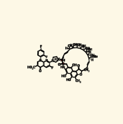 CO[C@H]1/C=C/O[C@@]2(C)Oc3c(C)c(O)c4c(O)c(c(/C=N/NC5CCN(c6nc7c(cc6F)c(=O)c(C(=O)O)cn7-c6ccc(F)cc6F)C5)c(O)c4c3C2=O)NC(=O)/C(C)=C\C=C\[C@H](C)[C@H](O)[C@@H](C)[C@@H](O)[C@@H](C)[C@H](OC(C)=O)[C@@H]1C